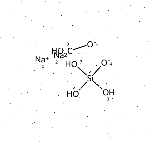 O=C([O-])O.[Na+].[Na+].[O-][Si](O)(O)O